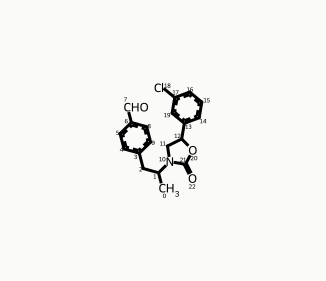 CC(Cc1ccc(C=O)cc1)N1CC(c2cccc(Cl)c2)OC1=O